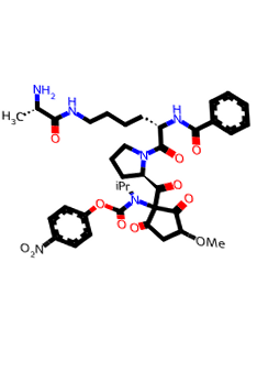 COC1CC(=O)C(C(=O)[C@H]2CCCN2C(=O)[C@H](CCCCNC(=O)[C@H](C)N)NC(=O)c2ccccc2)(N(C(=O)Oc2ccc([N+](=O)[O-])cc2)C(C)C)C1=O